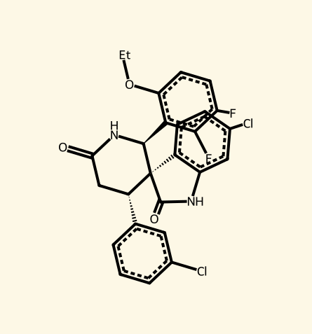 CCOc1ccc(F)c(F)c1[C@@H]1NC(=O)C[C@@H](c2cccc(Cl)c2)[C@]12C(=O)Nc1cc(Cl)ccc12